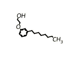 CCCCCCCCc1cccc(OCCO)c1